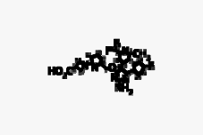 Cc1cc(-c2c(OCc3cccc(N4CC(C(=O)O)C4)n3)nc(N)nc2-c2ccc(F)cc2)cc(C(F)F)n1